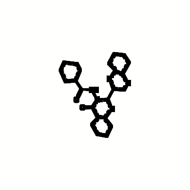 O=C(Nn1c(-c2cnc3ccccc3n2)nc2ccccc2c1=O)c1ccccc1